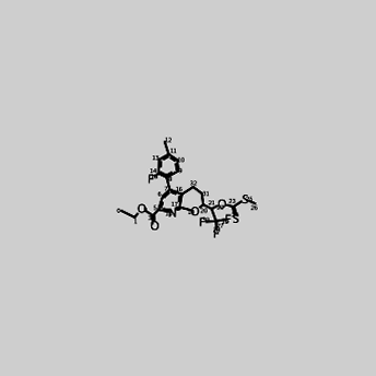 CCOC(=O)c1cc(-c2ccc(C)cc2F)c2c(n1)OC(C(OC(=S)SC)C(F)(F)F)CC2